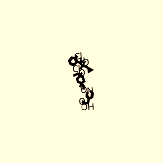 CCC1(OCc2c(-c3c(Cl)cccc3Cl)noc2C2CC2)CCC(C)(COc2cc(CC(=O)O)ccn2)CC1